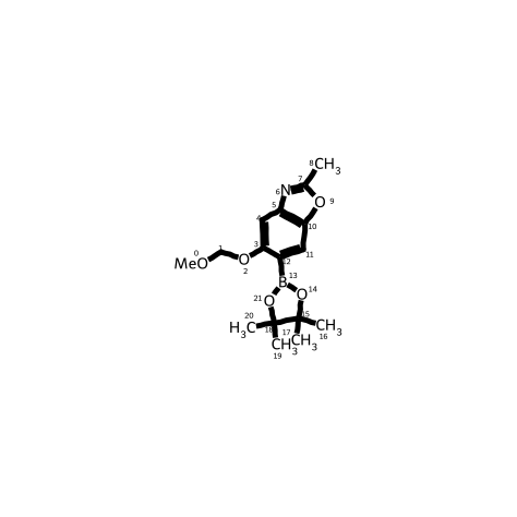 COCOc1cc2nc(C)oc2cc1B1OC(C)(C)C(C)(C)O1